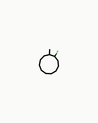 CC1CCCCCCCCCC1F